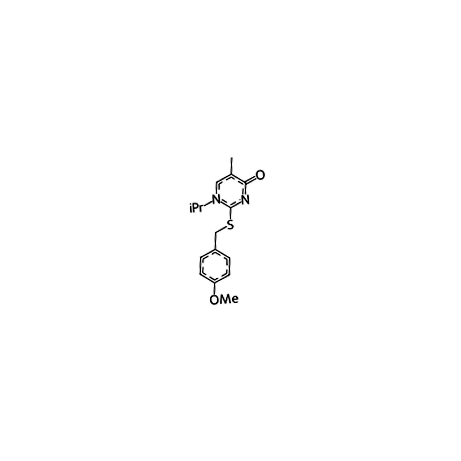 COc1ccc(CSc2nc(=O)c(C)cn2C(C)C)cc1